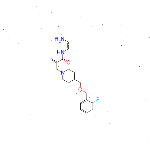 C=C(CN1CCC(COCc2ccccc2F)CC1)C(=O)N/C=C\N